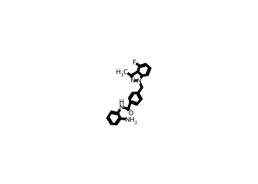 CC1=NN(Cc2ccc(C(=O)Nc3ccccc3N)cc2)C2C=CC=C(F)C12